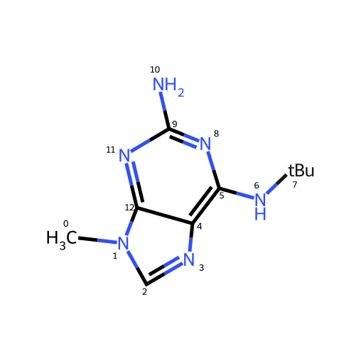 Cn1cnc2c(NC(C)(C)C)nc(N)nc21